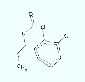 C=CCOC=O.Clc1ccccc1Cl